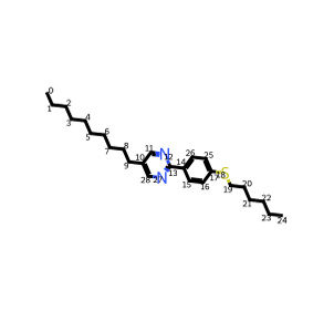 CCCCCCCCCCc1cnc(-c2ccc(SCCCCCC)cc2)nc1